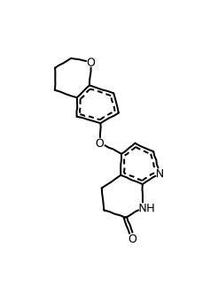 O=C1CCc2c(Oc3ccc4c(c3)CCCO4)ccnc2N1